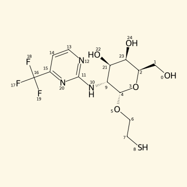 OC[C@H]1O[C@H](OCCS)[C@H](Nc2nccc(C(F)(F)F)n2)[C@@H](O)[C@H]1O